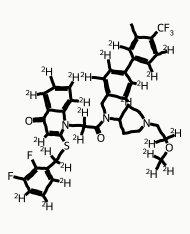 [2H]c1c([2H])c(F)c(F)c(C([2H])([2H])Sc2c([2H])c(=O)c3c([2H])c([2H])c([2H])c([2H])c3n2C([2H])([2H])C(=O)N(Cc2c([2H])c([2H])c(-c3c([2H])c([2H])c(C(F)(F)F)c(C)c3[2H])c([2H])c2[2H])C2CCN(CC([2H])([2H])OC([2H])([2H])[2H])CC2)c1[2H]